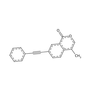 Cc1coc(=O)c2cc(C#Cc3ccccc3)ccc12